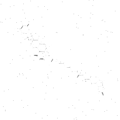 CC1=C(C)C(=O)O[C@@H](C(C)(O)[C@]2(O)CC[C@@]3(O)[C@@H]4C[C@H]5O[C@]56[C@@H](OC(=O)NCCOCCNC(=O)CCCCC5SCC7NC(=O)NC75)C=CC(=O)[C@]6(C)[C@H]4CC[C@@]32C)C1